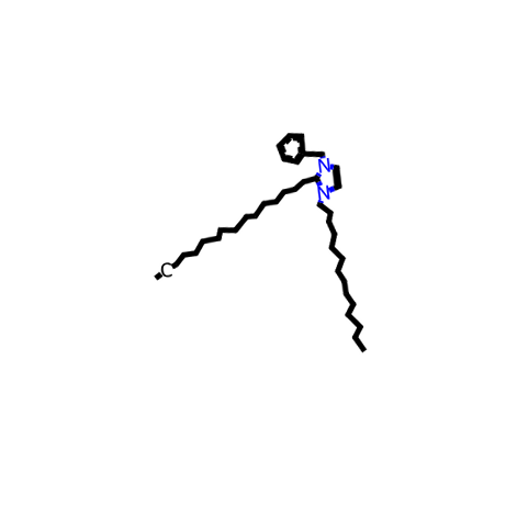 CCCCCCCCCCCCCCCCC1N(CCCCCCCCCCCCCC)C=CN1Cc1ccccc1